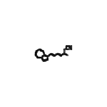 CC(C=CC=Cc1ccc2cccccc1-2)=CC#N